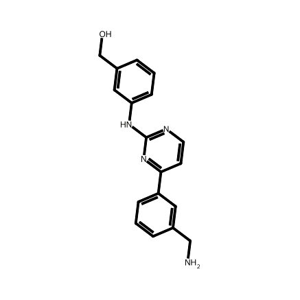 NCc1cccc(-c2ccnc(Nc3cccc(CO)c3)n2)c1